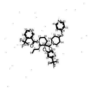 CCC[C@H]1N(C(=O)c2cnccc2C(F)(F)F)CCC[C@@]1(Oc1csc(C(F)(F)F)c1)C(=O)N1CCC(Sc2ccncc2)CC1